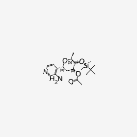 CC(=O)O[C@H]1C[C@H](c2ccncc2N)O[C@@H](C)[C@H]1O[Si](C)(C)C(C)(C)C